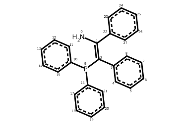 NC(=C(c1ccccc1)P(c1ccccc1)c1ccccc1)c1ccccc1